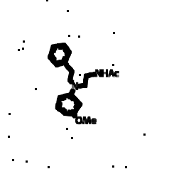 COc1cccc(N(CCNC(C)=O)CCc2ccccc2)c1